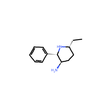 CC[C@@H]1CC[C@@H](N)[C@H](c2ccccc2)N1